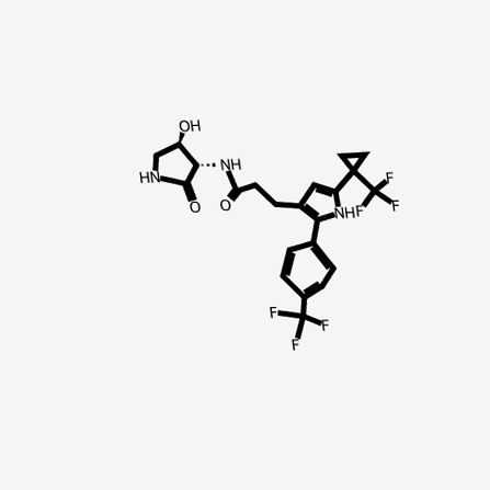 O=C(CCc1cc(C2(C(F)(F)F)CC2)[nH]c1-c1ccc(C(F)(F)F)cc1)N[C@@H]1C(=O)NC[C@H]1O